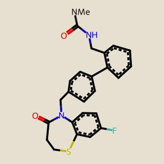 CNC(=O)NCc1ccccc1-c1ccc(CN2C(=O)CCSc3cc(F)ccc32)cc1